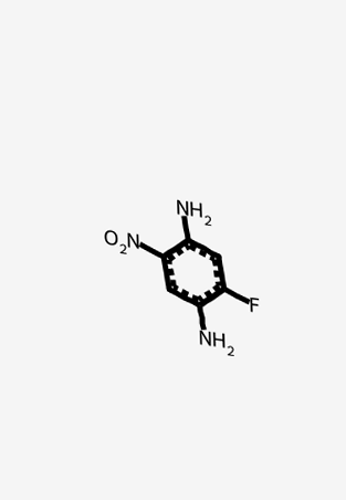 Nc1cc([N+](=O)[O-])c(N)cc1F